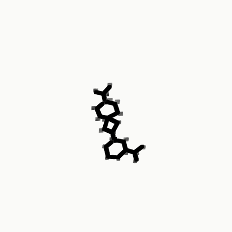 CC(C)C1CCCN(C2CC3(CCN(C(C)C)CC3)C2)C1